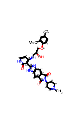 COc1cc(C#N)ccc1OCC(O)CNc1cc[nH]c(=O)c1-c1nc2cc3c(cc2[nH]1)C(=O)N(C1CCN(C)CC1)C3=O